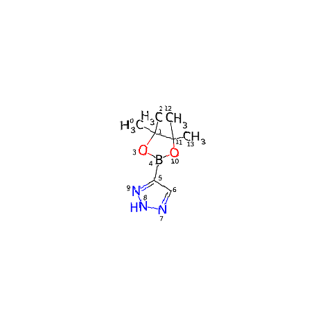 CC1(C)OB(c2cn[nH]n2)OC1(C)C